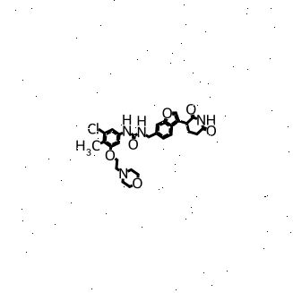 Cc1c(Cl)cc(NC(=O)NCc2ccc3c(C4CCC(=O)NC4=O)coc3c2)cc1OCCN1CCOCC1